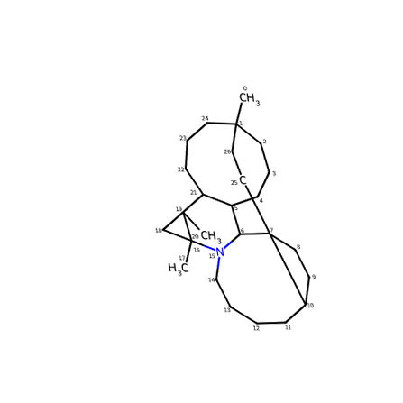 CC12CCCC3C4CCCC(CCCCN4C4(C)CC4(C)C3CCC1)CC2